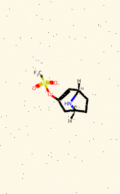 O=S(=O)(OC1=C[C@@H]2CC[C@H](C1)N2)C(F)(F)F